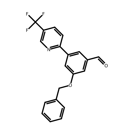 O=Cc1cc(OCc2ccccc2)cc(-c2ccc(C(F)(F)F)cn2)c1